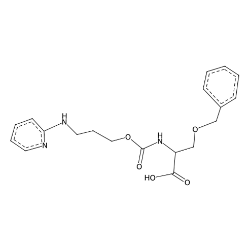 O=C(NC(COCc1ccccc1)C(=O)O)OCCCNc1ccccn1